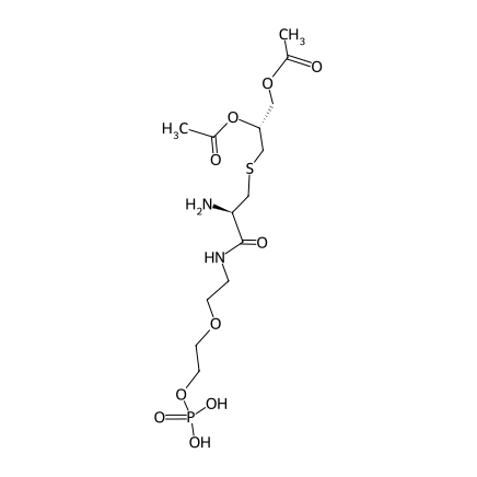 CC(=O)OC[C@H](CSC[C@H](N)C(=O)NCCOCCOP(=O)(O)O)OC(C)=O